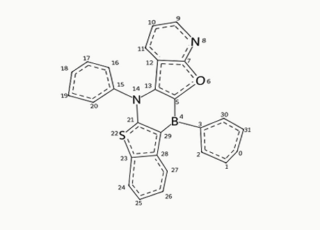 c1ccc(B2c3oc4ncccc4c3N(c3ccccc3)c3sc4ccccc4c32)cc1